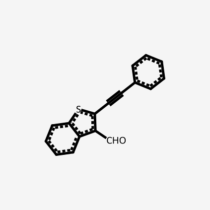 O=Cc1c(C#Cc2ccccc2)sc2ccccc12